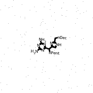 CCCCCCCCCCCc1nc(C(CCCCC)c2nc(N)nc(N)n2)c[nH]1